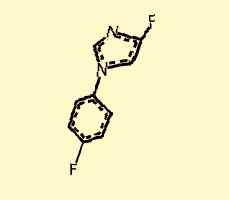 Fc1ccc(-n2cnc(F)c2)cc1